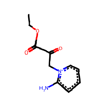 CCOC(=O)C(=O)C[n+]1ccccc1N